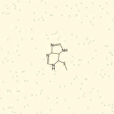 CSC1NC=NC2N=CNC21